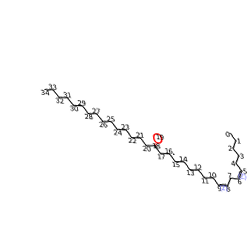 CCCCC/C=C\C/C=C\CCCCCC[CH]CC(=O)CCCCCCCCCCCCCCC